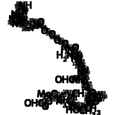 COC(CC1CCCC(C(=O)C=O)O1)/C(C)=C/C=C/C=C/C(C)CC(C)C(=O)CC(O)/C(C)=C/C(C)C(=O)CC(CCC1CCC(OCc2cnc(N3CCN(c4ncc(C(=O)NCCOCCOCCOCCOCCC(=O)N5CCc6cc(Cn7nc(-c8cnc9[nH]ccc9c8)c8c(N)ncnc87)ccc6C5)c(N)n4)CC3)nc2CCNC=O)CC1)OC(=O)C1CCCCN1O